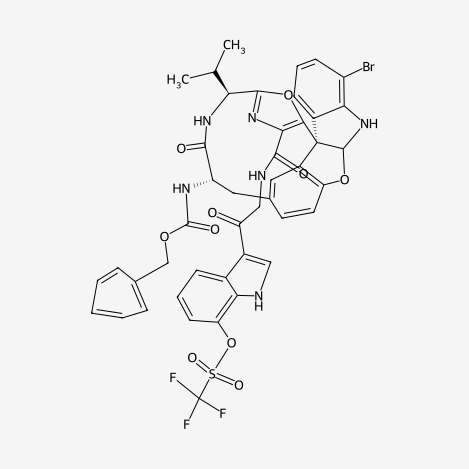 CC(C)[C@@H]1NC(=O)[C@@H](NC(=O)OCc2ccccc2)Cc2ccc3c(c2)[C@@]2(c4cccc(Br)c4NC2O3)c2oc1nc2C(=O)NCC(=O)c1c[nH]c2c(OS(=O)(=O)C(F)(F)F)cccc12